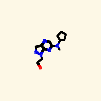 CN(c1cnc2cnn(CC=O)c2n1)C1CCCC1